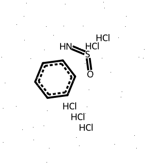 Cl.Cl.Cl.Cl.Cl.N=S=O.c1ccccc1